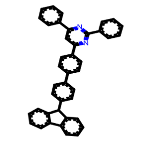 c1ccc(-c2cc(-c3ccc(-c4ccc(C5c6ccccc6-c6ccccc65)cc4)cc3)nc(-c3ccccc3)n2)cc1